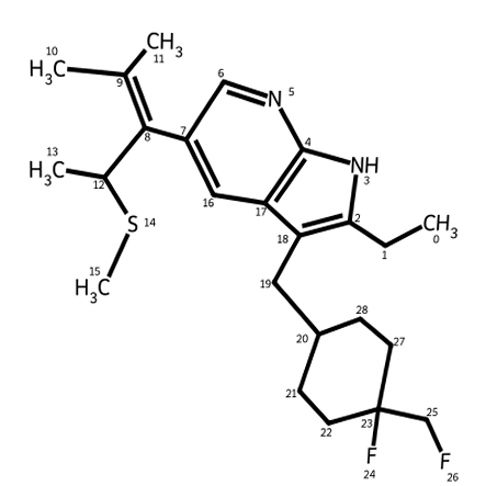 CCc1[nH]c2ncc(C(=C(C)C)C(C)SC)cc2c1CC1CCC(F)(CF)CC1